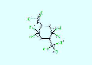 Cl[SiH](Cl)C1C[Si](Cl)(Cl)C([Si](Cl)(Cl)Cl)C[Si]1(Cl)Cl